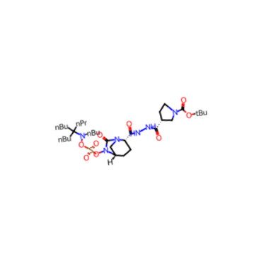 CCCCN(OS(=O)(=O)ON1C(=O)N2C[C@@H]1CC[C@H]2C(=O)NNC(=O)[C@@H]1CCN(C(=O)OC(C)(C)C)C1)C(CCC)(CCCC)CCCC